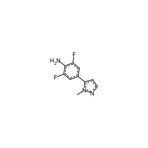 Cn1nccc1-c1cc(F)c(N)c(F)c1